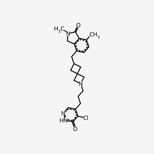 Cc1ccc(CC2CC3(C2)CN(CCCc2cn[nH]c(=O)c2Cl)C3)c2c1C(=O)N(C)C2